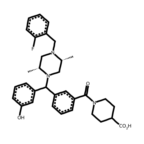 C[C@@H]1CN(C(c2cccc(O)c2)c2cccc(C(=O)N3CCC(C(=O)O)CC3)c2)[C@H](C)CN1Cc1ccccc1F